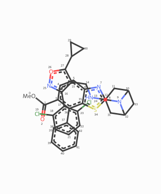 COC(=O)c1ccc2nc(N3C4CC(NCc5c(-c6c(Cl)cccc6Cl)noc5C5CC5)CC3C4)sc2c1-c1ccccc1